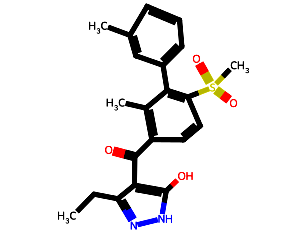 CCc1n[nH]c(O)c1C(=O)c1ccc(S(C)(=O)=O)c(-c2cccc(C)c2)c1C